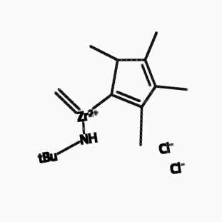 [CH2]=[Zr+2]([NH]C(C)(C)C)[C]1=C(C)C(C)=C(C)C1C.[Cl-].[Cl-]